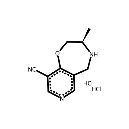 C[C@@H]1COc2c(C#N)cncc2CN1.Cl.Cl